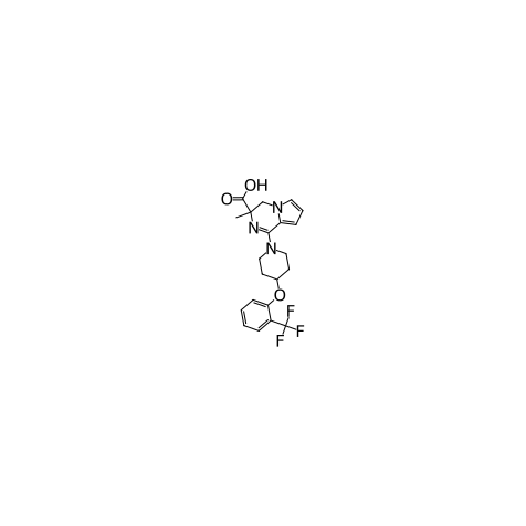 CC1(C(=O)O)Cn2cccc2C(N2CCC(Oc3ccccc3C(F)(F)F)CC2)=N1